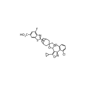 O=C(O)c1cc(F)c2nc(N3C4CCC3CC3(COC(c5c(-c6c(Cl)cccc6Cl)noc5C5CC5)O3)C4)sc2c1